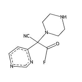 N#CC(C(=O)F)(c1ccncn1)N1CCNCC1